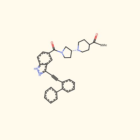 CNC(=O)C1CCN([C@@H]2CCN(C(=O)c3ccc4[nH]nc(C#Cc5ccccc5-c5ccccc5)c4c3)C2)CC1